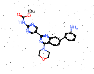 CC(C)(C)OC(=O)Nc1ncc(-c2nc(N3CCOCC3)c3ccc(-c4cccc(N)c4)cc3n2)cn1